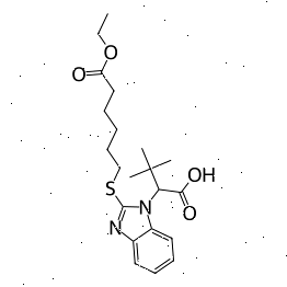 CCOC(=O)CCCCCSc1nc2ccccc2n1C(C(=O)O)C(C)(C)C